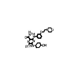 CCc1nc(C(N)=O)c(Nc2cccc(OCCN3CCOCC3)c2)nc1N[C@H]1CC[C@H](O)CC1